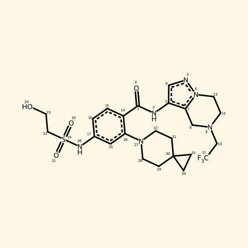 O=C(Nc1cnn2c1CN(CC(F)(F)F)CC2)c1ccc(NS(=O)(=O)CCO)cc1N1CCC2(CC1)CC2